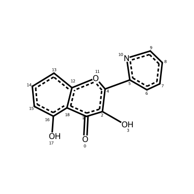 O=c1c(O)c(-c2ccccn2)oc2cccc(O)c12